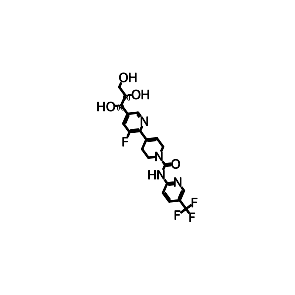 O=C(Nc1ccc(C(F)(F)F)cn1)N1CC=C(c2ncc([C@@H](O)[C@H](O)CO)cc2F)CC1